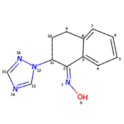 ON=C1c2ccccc2CCC1n1cncn1